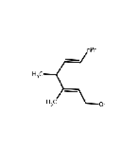 CCCC=CC(C)C(C)=CC[O]